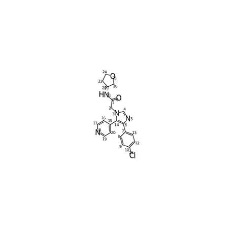 O=C(Cn1cnc(-c2ccc(Cl)cc2)c1-c1ccncc1)N[C@@H]1CCOC1